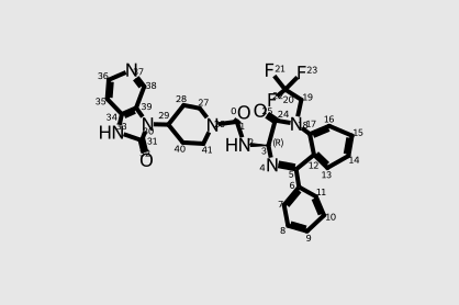 O=C(N[C@@H]1N=C(c2ccccc2)c2ccccc2N(CC(F)(F)F)C1=O)N1CCC(n2c(=O)[nH]c3ccncc32)CC1